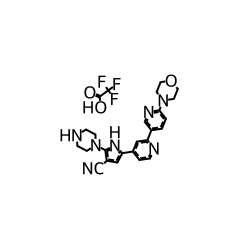 N#Cc1cc(-c2ccnc(-c3ccc(N4CCOCC4)nc3)c2)[nH]c1N1CCNCC1.O=C(O)C(F)(F)F